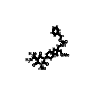 CCCCN1C(=O)C(=C(N)N)C(=O)N(C2CCC3(CC2)CC(CNC(=O)OCc2ccccc2)(COC)C3)C1=O